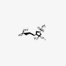 C[C@]1(N)CN(S(N)(=O)=O)C[C@@H]1CCCB(O)O